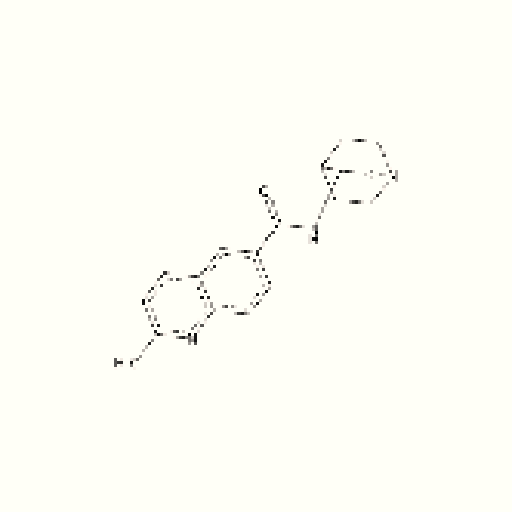 Cc1ccc2cc(C(=O)NC3CN4CCC3CC4)ccc2n1